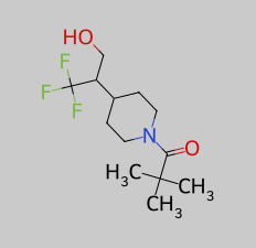 CC(C)(C)C(=O)N1CCC(C(CO)C(F)(F)F)CC1